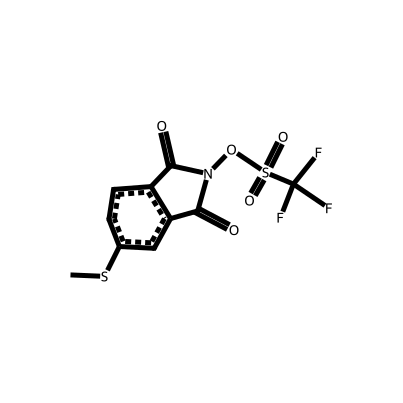 CSc1ccc2c(c1)C(=O)N(OS(=O)(=O)C(F)(F)F)C2=O